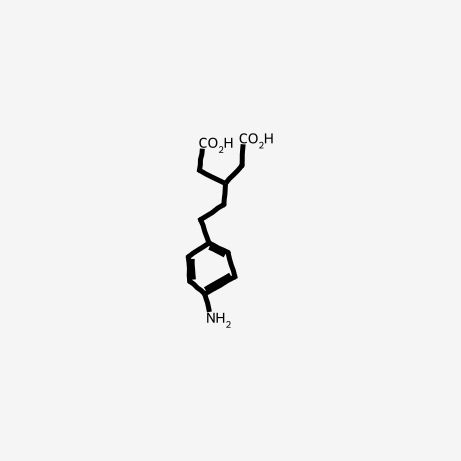 Nc1ccc(CCC(CC(=O)O)CC(=O)O)cc1